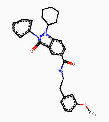 COc1cccc(CCNC(=O)c2ccc3c(c2)c(=O)n(-c2ccccc2)n3C2CCCCC2)c1